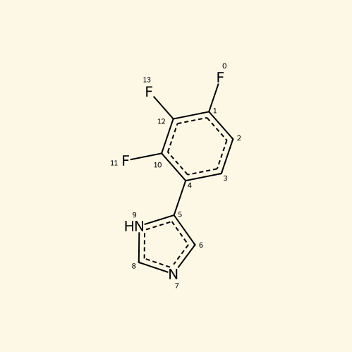 Fc1ccc(-c2cnc[nH]2)c(F)c1F